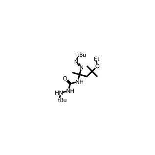 CCOC(C)(C)CC(C)(N=NC(C)(C)C)NC(=O)NNC(C)(C)C